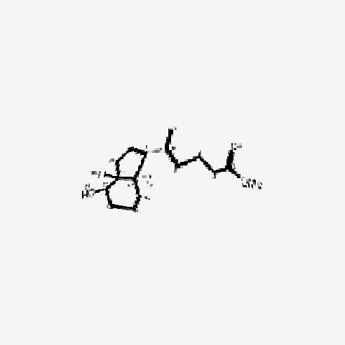 COC(=O)CCCC(C)[C@H]1CC[C@H]2[C@H](O)CCC[C@]12C